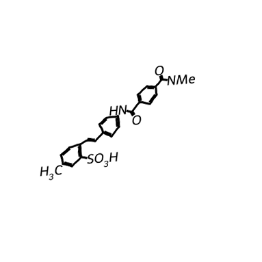 CNC(=O)c1ccc(C(=O)Nc2ccc(/C=C/c3ccc(C)cc3S(=O)(=O)O)cc2)cc1